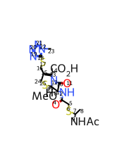 CO[C@@]1(NC(=O)CSC(C)NC(C)=O)C(=O)N2C(C(=O)O)=C(CSc3nnnn3C)CS[C@@H]21